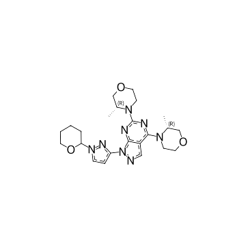 C[C@@H]1COCCN1c1nc(N2CCOC[C@H]2C)c2cnn(-c3ccn(C4CCCCO4)n3)c2n1